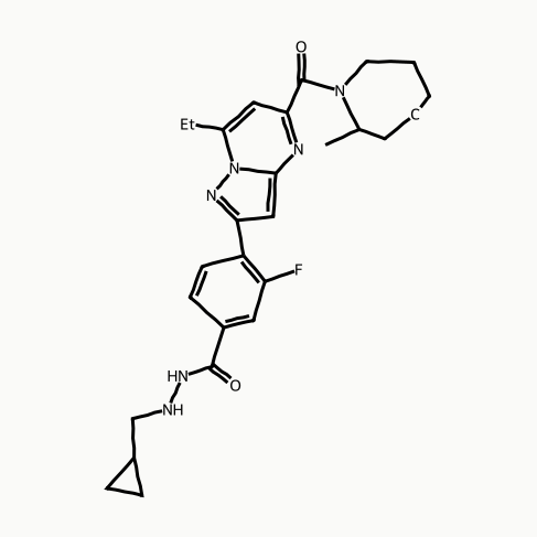 CCc1cc(C(=O)N2CCCCCC2C)nc2cc(-c3ccc(C(=O)NNCC4CC4)cc3F)nn12